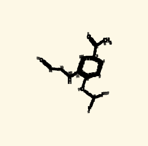 CC(=O)c1ccc(OC(F)F)c(NCC=O)c1